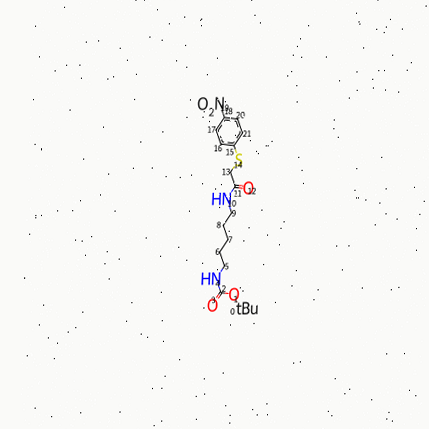 CC(C)(C)OC(=O)NCCCCCNC(=O)CSc1ccc([N+](=O)[O-])cc1